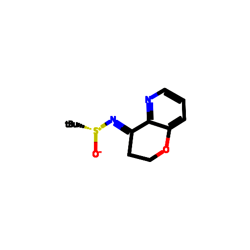 CC(C)(C)[S@@+]([O-])/N=C1\CCOc2cccnc21